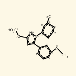 O=C(O)Oc1cc(-c2cccc(SC(F)(F)F)c2)n(-c2cccc(Cl)c2)n1